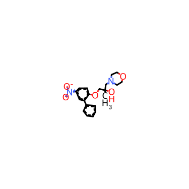 CC(O)(COc1ccc([N+](=O)[O-])cc1-c1ccccc1)CN1CCOCC1